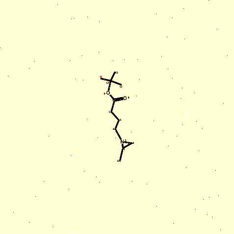 CC1CN1CCCC(=O)OC(C)(C)C